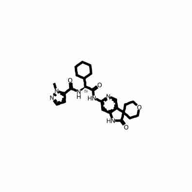 Cn1nccc1C(=O)N[C@H](C(=O)Nc1cc2c(cn1)C1(CCOCC1)C(=O)N2)C1CCCCC1